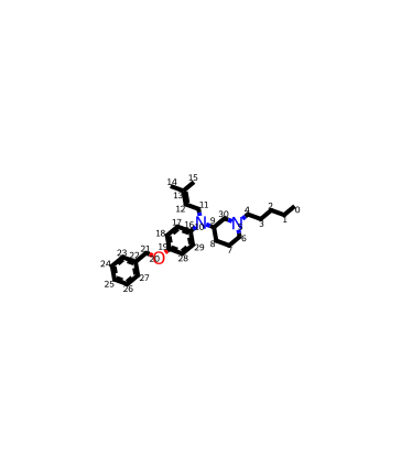 CCCCCN1CCCC(N(CC=C(C)C)c2ccc(OCc3ccccc3)cc2)C1